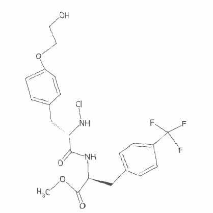 COC(=O)[C@H](Cc1ccc(C(F)(F)F)cc1)NC(=O)[C@H](Cc1ccc(OCCO)cc1)NCl